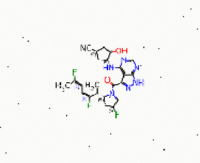 C=C(/C(F)=C\C=C(/C)F)[C@H]1C[C@H](F)CN1C(=O)c1n[nH]c2ncnc(N[C@@H]3C[C@@H](C#N)C[C@H]3O)c12